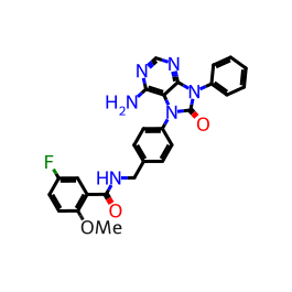 COc1ccc(F)cc1C(=O)NCc1ccc(-n2c(=O)n(-c3ccccc3)c3ncnc(N)c32)cc1